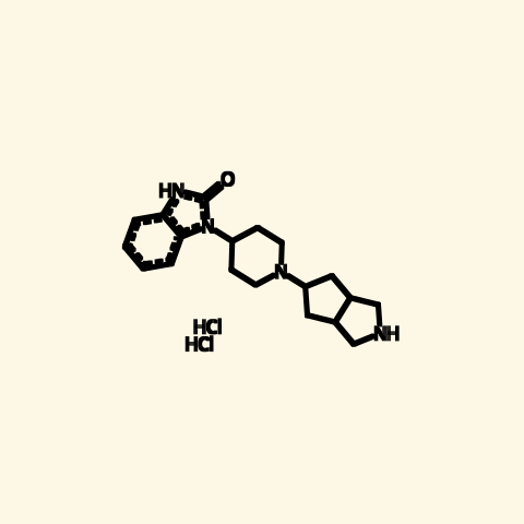 Cl.Cl.O=c1[nH]c2ccccc2n1C1CCN(C2CC3CNCC3C2)CC1